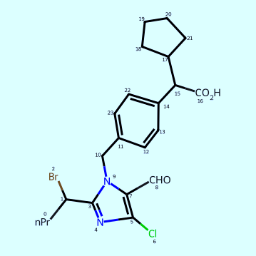 CCCC(Br)c1nc(Cl)c(C=O)n1Cc1ccc(C(C(=O)O)C2CCCC2)cc1